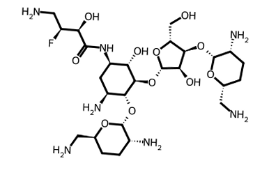 NC[C@@H]1CC[C@@H](N)[C@@H](O[C@H]2[C@H](O[C@@H]3O[C@H](CO)[C@@H](O[C@H]4O[C@@H](CN)CC[C@H]4N)[C@H]3O)[C@@H](O)[C@H](NC(=O)[C@H](O)[C@@H](F)CN)C[C@@H]2N)O1